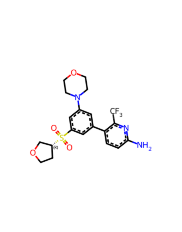 Nc1ccc(-c2cc(N3CCOCC3)cc(S(=O)(=O)[C@@H]3CCOC3)c2)c(C(F)(F)F)n1